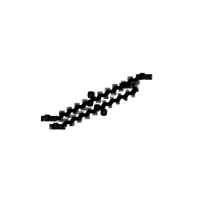 CCCCCCCC/C=C\CCCCCCCC(=O)OCCCCCCCCCCCCCCCCCC.CCCCCCCCCCCCCCCCCCCCCC(=O)OCCCCCCCCCCCCCCCCCC